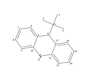 CC(C)(C)C1c2ccccc2Sc2ccccc21